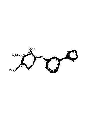 CC(=O)O[C@@H]1[C@@H](OC(C)=O)[C@@H](Oc2cccc(-c3nccs3)c2)SC[C@H]1OC(C)=O